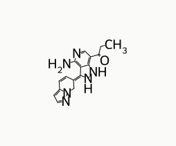 CCC(=O)c1cnc(N)c2c1NNC2=C1C=Cc2ccnn2C1